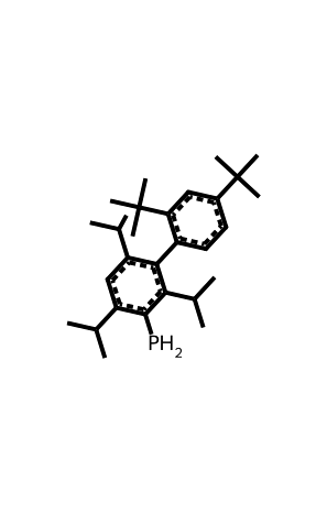 CC(C)c1cc(C(C)C)c(-c2ccc(C(C)(C)C)cc2C(C)(C)C)c(C(C)C)c1P